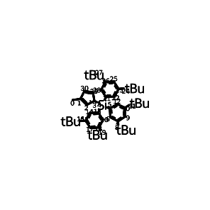 CC1=C[C]([Si](c2cc(C(C)(C)C)cc(C(C)(C)C)c2)(c2cc(C(C)(C)C)cc(C(C)(C)C)c2)c2cc(C(C)(C)C)cc(C(C)(C)C)c2)C=C1